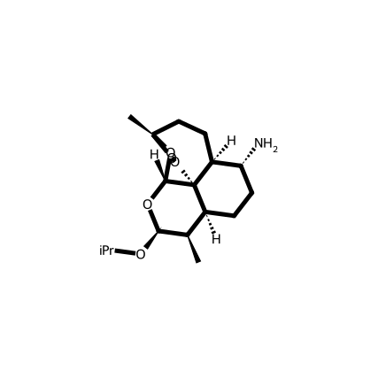 CC(C)O[C@H]1O[C@@H]2O[C@@]3(C)CC[C@H]4[C@H](N)CC[C@@H]([C@H]1C)[C@@]24OO3